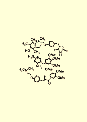 COc1cc(C(=O)NCc2ccc(OCCN(C)C)cc2)cc(OC)c1OC.COc1cc(Cc2cnc(N)nc2N)cc(OC)c1OC.Cc1c(C)c2c(c(C)c1O)CCC(C)(COc1ccc(CC3SC(=O)NC3=O)cc1)O2